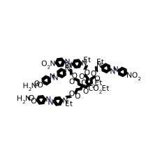 CCOC(=O)C(CCC(=O)OCCN(CC)c1ccc(/N=N/c2ccc(OON)cc2)cc1)(CCC(=O)OCCN(CC)c1ccc(/N=N/c2ccc(OON)cc2)cc1)C(=O)C(CCC(=O)OCCN(CC)c1ccc(/N=N/c2ccc([N+](=O)[O-])cc2)cc1)(CCC(=O)OCCN(CC)c1ccc(/N=N/c2ccc([N+](=O)[O-])cc2)cc1)C(=O)OCC